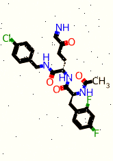 CC(=O)N[C@@H](Cc1ccc(F)cc1F)C(=O)N[C@@H](CCC(=O)C=N)C(=O)NCc1ccc(Cl)cc1